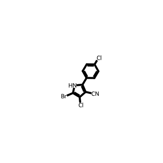 N#Cc1c(-c2ccc(Cl)cc2)[nH]c(Br)c1Cl